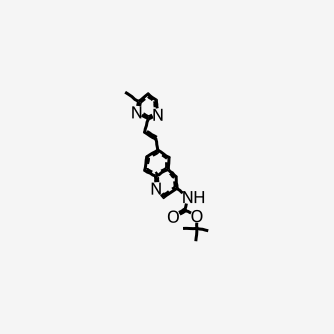 Cc1ccnc(/C=C/c2ccc3ncc(NC(=O)OC(C)(C)C)cc3c2)n1